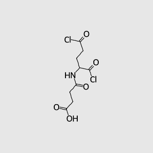 O=C(O)CCC(=O)NC(CCC(=O)Cl)C(=O)Cl